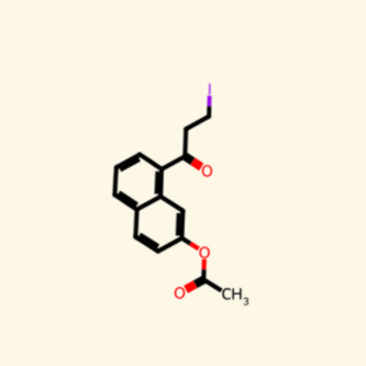 CC(=O)Oc1ccc2cccc(C(=O)CCI)c2c1